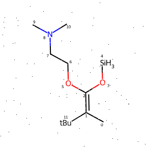 CC(=C(O[SiH3])OCCN(C)C)C(C)(C)C